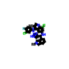 CCN1Cc2cccc([C@H](Nc3cc(Cl)c4ncc(C#N)c(Nc5ccc(F)c(Cl)c5)c4c3)c3c[nH]nn3)c2C1